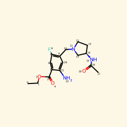 CCOC(=O)c1cc(F)c(CN2CC[C@@H](NC(C)=O)C2)cc1N